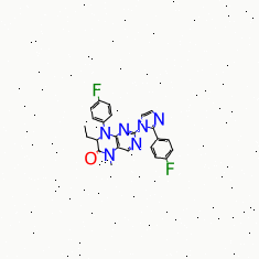 CCC1C(=O)N(C)c2cnc(-n3ccnc3-c3ccc(F)cc3)nc2N1c1ccc(F)cc1